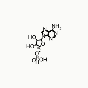 Nc1ncnc2c1ncn2C1O[C@H](CO[PH](=O)O)[C@H](O)C1O